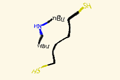 CCCCNCCCC.SCCCCS